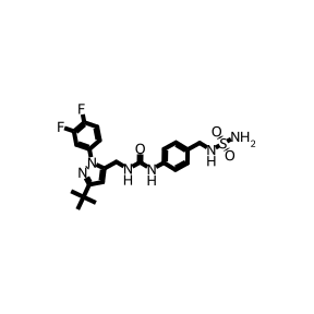 CC(C)(C)c1cc(CNC(=O)Nc2ccc(CNS(N)(=O)=O)cc2)n(-c2ccc(F)c(F)c2)n1